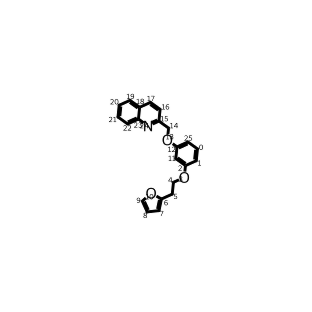 c1cc(OCCc2ccco2)cc(OCc2ccc3ccccc3n2)c1